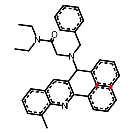 CCN(CC)C(=O)CN(Cc1ccccc1)C(c1ccccc1)c1cc2cccc(C)c2nc1-c1ccccc1